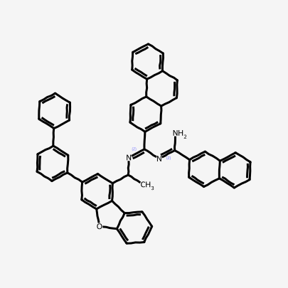 CC(/N=C(\N=C(/N)c1ccc2ccccc2c1)C1=CC2C=Cc3ccccc3C2C=C1)c1cc(-c2cccc(-c3ccccc3)c2)cc2oc3ccccc3c12